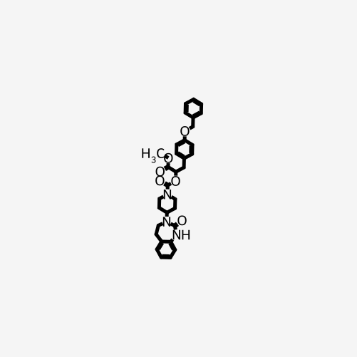 COC(=O)C(Cc1ccc(OCc2ccccc2)cc1)OC(=O)N1CCC(N2CCc3ccccc3NC2=O)CC1